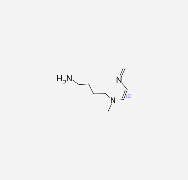 C=N/C=C\N(C)CCCCN